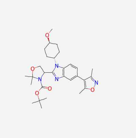 CO[C@H]1CC[C@H](n2c(C3COC(C)(C)N3C(=O)OC(C)(C)C)nc3cc(-c4c(C)noc4C)ccc32)CC1